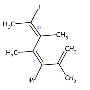 C=C(C)/C(=C(C)\C(C)=C(/C)I)C(C)C